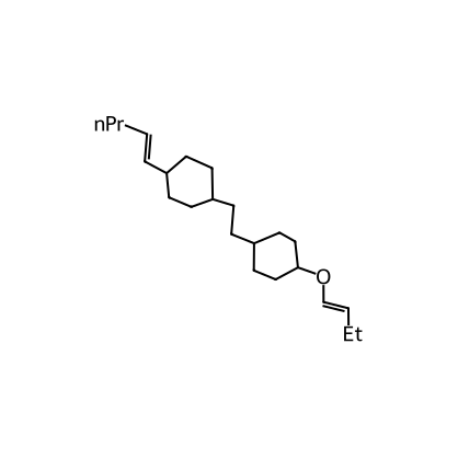 CCC=COC1CCC(CCC2CCC(C=CCCC)CC2)CC1